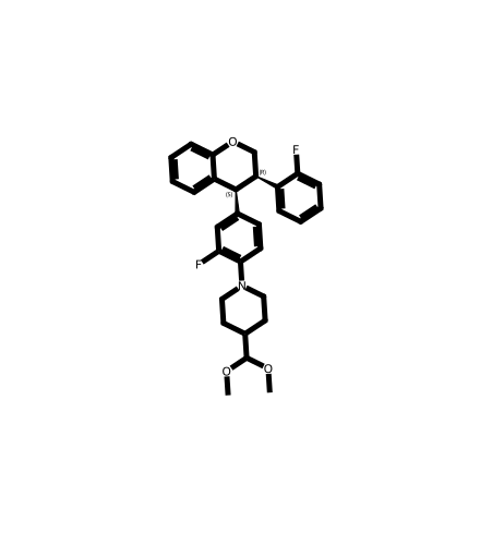 COC(OC)C1CCN(c2ccc([C@H]3c4ccccc4OC[C@H]3c3ccccc3F)cc2F)CC1